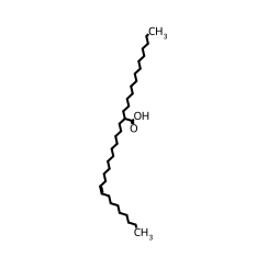 CCCCCCCC/C=C\CCCCCCCCCCC(CCCCCCCCCCCCCC)C(=O)O